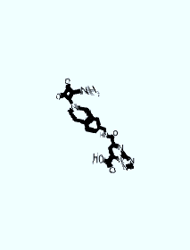 Nc1c(N2CCc3ccc(CNC(=O)c4cc(C(=O)O)n5ncnc5n4)cc3C2)c(=O)c1=O